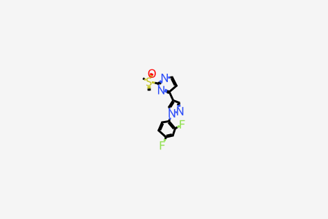 C=S(C)(=O)c1nccc(-c2cnn(-c3ccc(F)cc3F)c2)n1